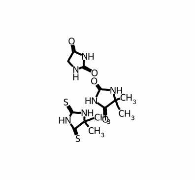 CC1(C)NC(=O)NC1=O.CC1(C)NC(=S)NC1=S.O=C1CNC(=O)N1